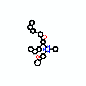 C1=CCc2c(oc3cc(-c4nc(-c5ccccc5)nc(-c5cc6oc7ccc(-c8ccc9ccc%10ccccc%10c9c8)cc7c6cc5-c5ccc6ccc7ccccc7c6c5)n4)ccc23)C=C1